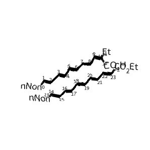 CCCCCCCCCC=CC=CC=CC=CC=C(CC)C(=O)O.CCCCCCCCCC=CC=CC=CC=CC=CC(=O)OCC